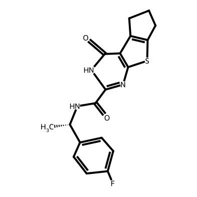 C[C@H](NC(=O)c1nc2sc3c(c2c(=O)[nH]1)CCC3)c1ccc(F)cc1